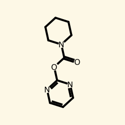 O=C(Oc1ncccn1)N1CCCCC1